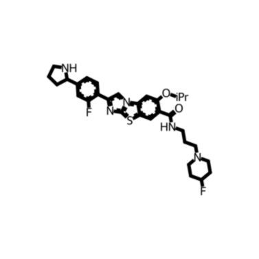 CC(C)Oc1cc2c(cc1C(=O)NCCCN1CCC(F)CC1)sc1nc(-c3ccc(C4CCCN4)cc3F)cn12